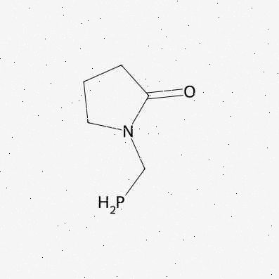 O=C1CCCN1CP